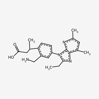 CCc1nc2c(C)cc(C)nc2n1-c1ccc(C(C)CC(=O)O)c(CN)c1